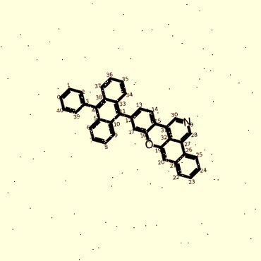 c1ccc(-c2c3ccccc3c(-c3ccc4c(c3)Oc3cc5ccccc5c5cncc-4c35)c3ccccc23)cc1